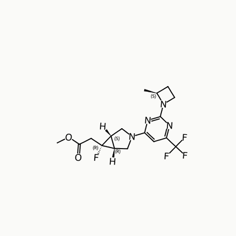 COC(=O)C[C@@]1(F)[C@@H]2CN(c3cc(C(F)(F)F)nc(N4CC[C@@H]4C)n3)C[C@@H]21